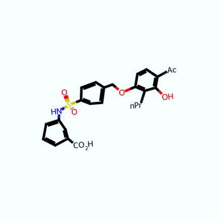 CCCc1c(OCc2ccc(S(=O)(=O)Nc3cccc(C(=O)O)c3)cc2)ccc(C(C)=O)c1O